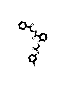 O=C(COc1ccccc1C(=O)NCC(=O)c1ccccc1)Nc1cccc(Br)c1